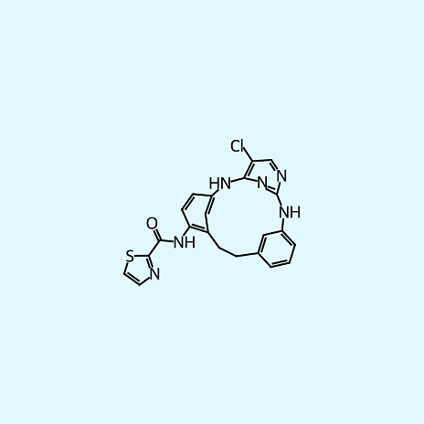 O=C(Nc1ccc2cc1CCc1cccc(c1)Nc1ncc(Cl)c(n1)N2)c1nccs1